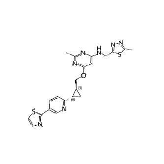 Cc1nc(NCc2nnc(C)s2)cc(OC[C@H]2C[C@@H]2c2ccc(-c3nccs3)cn2)n1